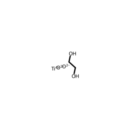 OCCO.[O-2].[O-2].[Ti+4]